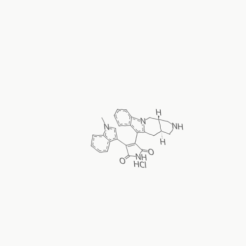 Cl.Cn1cc(C2=C(c3c4n(c5ccccc35)C[C@@H]3CNC[C@H]3C4)C(=O)NC2=O)c2ccccc21